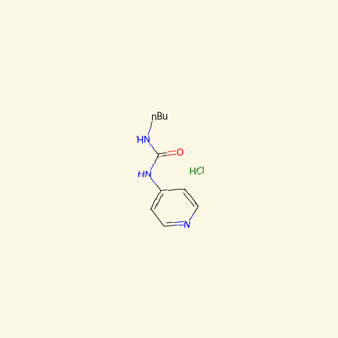 CCCCNC(=O)Nc1ccncc1.Cl